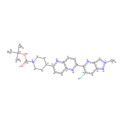 Cn1cc2nc(-c3ccc4nc(C5CCN(C(=O)OC(C)(C)C)CC5)ccc4n3)c(F)cc2n1